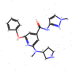 CN(c1cc(C(=O)Nc2ccn(C)n2)cc(Oc2ccccc2)n1)C1CCNC1